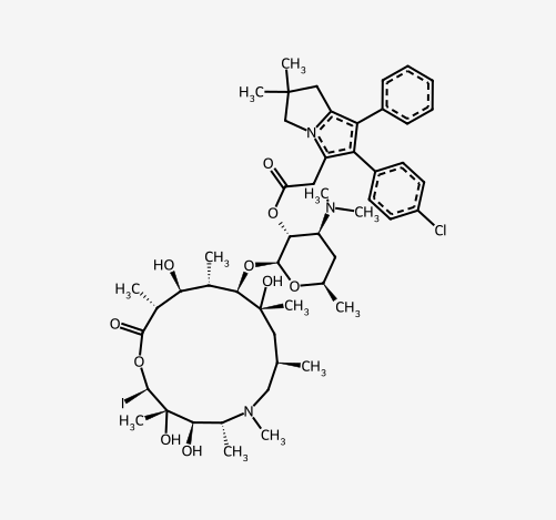 C[C@H]1CN(C)[C@H](C)[C@@H](O)[C@](C)(O)[C@@H](I)OC(=O)[C@H](C)[C@@H](O)[C@H](C)[C@@H](O[C@@H]2O[C@H](C)C[C@H](N(C)C)[C@H]2OC(=O)Cc2c(-c3ccc(Cl)cc3)c(-c3ccccc3)c3n2CC(C)(C)C3)[C@](C)(O)C1